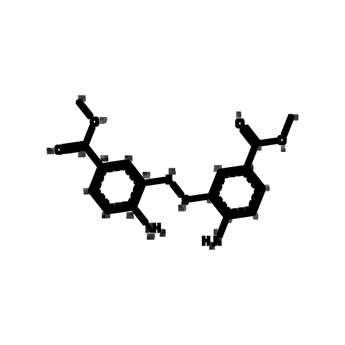 COC(=O)c1ccc(N)c(SSc2cc(C(=O)OC)ccc2N)c1